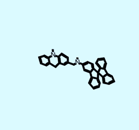 CN(Cc1ccc2c(c1)Cc1ccccc1N2C)c1ccc2c(c1)-c1ccccc1C21c2ccccc2-c2ccccc21